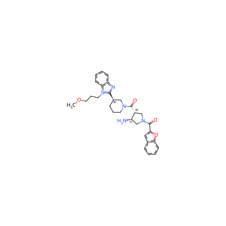 COCCCn1c([C@@H]2CCCN(C(=O)[C@@H]3CN(C(=O)c4cc5ccccc5o4)C[C@H]3N)C2)nc2ccccc21